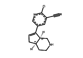 N#Cc1cc(C2=CC[C@@H]3CCNC[C@H]23)cnc1Cl